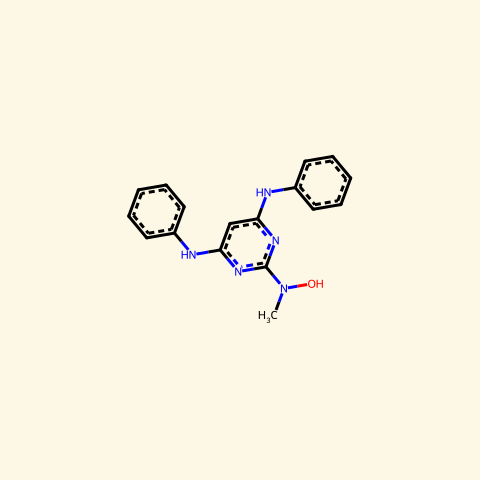 CN(O)c1nc(Nc2ccccc2)cc(Nc2ccccc2)n1